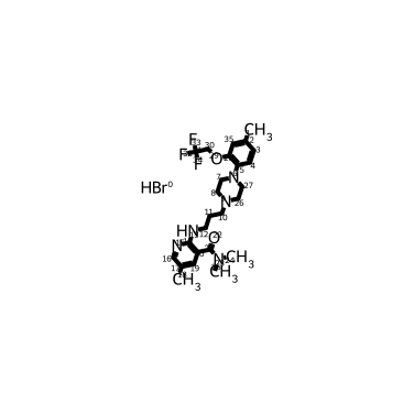 Br.Cc1ccc(N2CCN(CCCNc3ncc(C)cc3C(=O)N(C)C)CC2)c(OCC(F)(F)F)c1